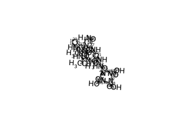 CC(C)[C@H](NC(=O)[C@H](C)NC(=O)[C@H](Cc1c[nH]c2ccccc12)NC(=O)[C@H](CCC(N)=O)NC(=O)c1ccc(NC(=O)CNC(=O)CN2CCN(CC(=O)O)CCN(CC(=O)O)CCN(CC(=O)O)CC2)cc1)C(=O)NCC=O